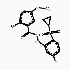 Nc1ccc(OC(F)(F)F)cc1C(=O)NNc1cc(Cl)ccc1S(=O)(=O)C1CC1